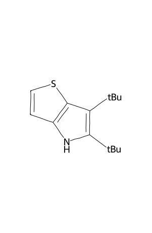 CC(C)(C)c1[nH]c2ccsc2c1C(C)(C)C